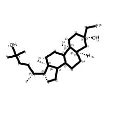 C[C@H](CCC(C)(C)O)[C@H]1CCC2C3CC[C@@H]4C[C@](O)(CF)CC[C@]4(C)C3CC[C@@]21C